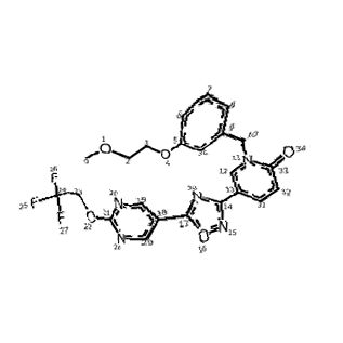 COCCOc1cccc(Cn2cc(-c3noc(-c4cnc(OCC(F)(F)F)nc4)n3)ccc2=O)c1